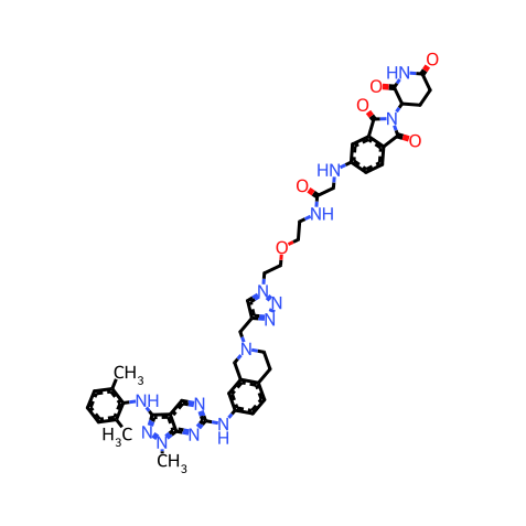 Cc1cccc(C)c1Nc1nn(C)c2nc(Nc3ccc4c(c3)CN(Cc3cn(CCOCCNC(=O)CNc5ccc6c(c5)C(=O)N(C5CCC(=O)NC5=O)C6=O)nn3)CC4)ncc12